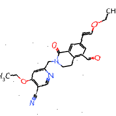 CCOC=Cc1cc(C=O)c2c(c1)C(=O)N(Cc1cc(OCC)c(C#N)cn1)CC2